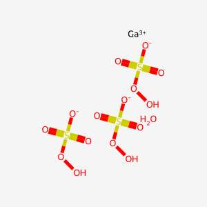 O.O=S(=O)([O-])OO.O=S(=O)([O-])OO.O=S(=O)([O-])OO.[Ga+3]